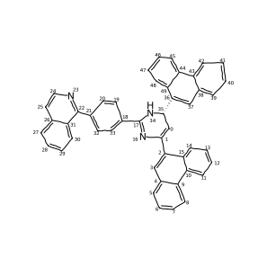 C1=C(c2cc3ccccc3c3ccccc23)N=C(c2ccc(-c3nccc4ccccc34)cc2)N[C@@H]1c1cc2ccccc2c2ccccc12